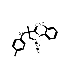 Cc1ccc([Se]C(C)(CN=[N+]=[N-])C(=O)Nc2ccccc2C#N)cc1